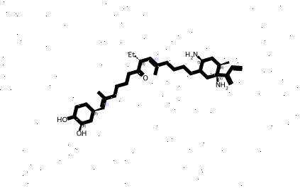 C=CC(=C)[C@]1(N)CC(CCCC/C(C)=C/[C@@H](CC)C(=O)CCCC/C(C)=C/[C@@H]2CCC(O)[C@H](O)C2)[C@@H](N)C[C@H]1C